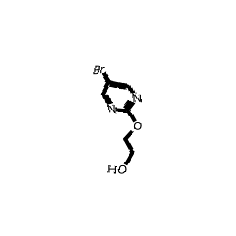 OCCOc1ncc(Br)cn1